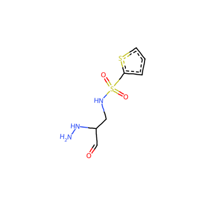 NNC(C=O)CNS(=O)(=O)c1cccs1